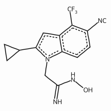 [C-]#[N+]c1ccc2c(cc(C3CC3)n2CC(=N)NO)c1C(F)(F)F